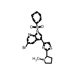 CN1CCCC1c1nc(-c2cn(S(=O)(=O)c3ccccc3)c3ncc(Br)cc23)cs1